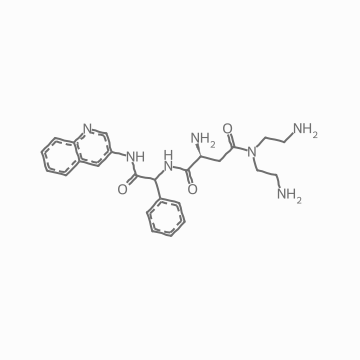 NCCN(CCN)C(=O)C[C@H](N)C(=O)NC(C(=O)Nc1cnc2ccccc2c1)c1ccccc1